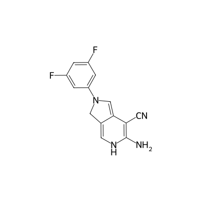 N#CC1=C(N)NC=C2CN(c3cc(F)cc(F)c3)C=C21